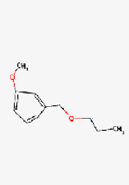 CC[CH]OCc1cccc(OC)c1